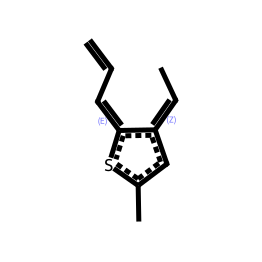 C=C/C=c1/sc(C)c/c1=C/C